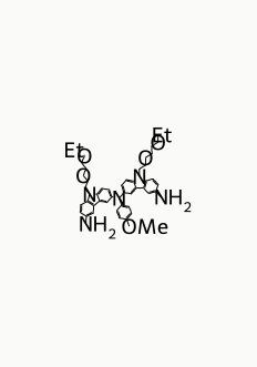 CCOCCOCCn1c2ccc(N)cc2c2cc(N(c3ccc(OC)cc3)c3ccc4c(c3)c3cc(N)ccc3n4CCOCCOCC)ccc21